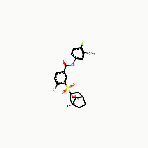 COc1cc(NC(=O)c2ccc(Cl)c(S(=O)(=O)C3CC4CC[C@@H](C3)[C@]4(C)O)c2)ccc1F